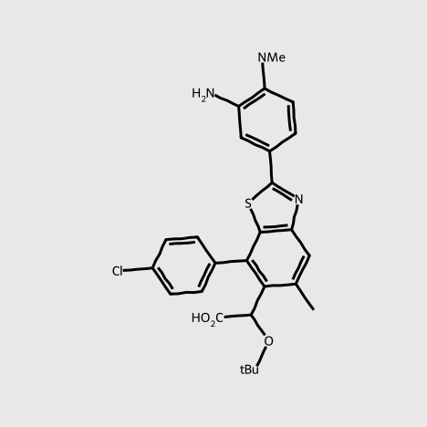 CNc1ccc(-c2nc3cc(C)c(C(OC(C)(C)C)C(=O)O)c(-c4ccc(Cl)cc4)c3s2)cc1N